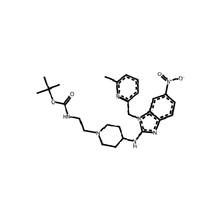 Cc1cccc(Cn2c(NC3CCN(CCNC(=O)OC(C)(C)C)CC3)nc3ccc([N+](=O)[O-])cc32)n1